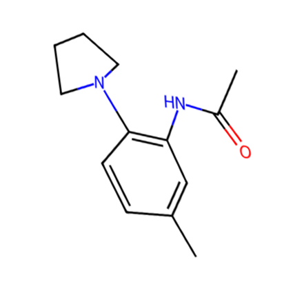 CC(=O)Nc1cc(C)ccc1N1CCCC1